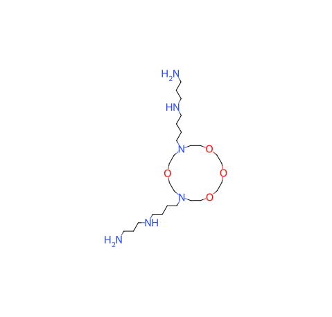 NCCCNCCCCN1CCOCCOCCOCCN(CCCCNCCCN)CCOCC1